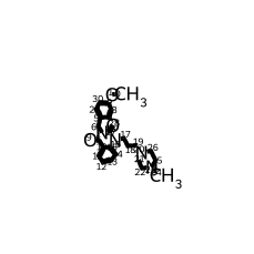 COc1ccc(Cn2c(=O)c3ccccc3n(CCCN3CCN(C)CC3)c2=O)cc1